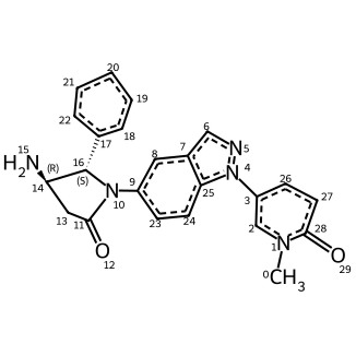 Cn1cc(-n2ncc3cc(N4C(=O)C[C@@H](N)[C@@H]4c4ccccc4)ccc32)ccc1=O